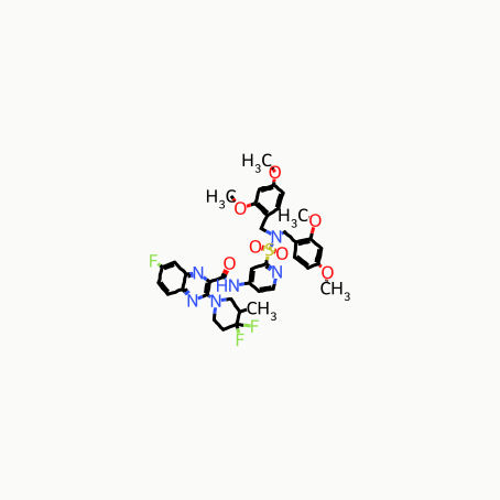 COc1ccc(CN(Cc2ccc(OC)cc2OC)S(=O)(=O)c2cc(NC(=O)c3nc4cc(F)ccc4nc3N3CCC(F)(F)C(C)C3)ccn2)c(OC)c1